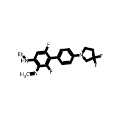 C=Nc1c(NCC)cc(F)c(-c2ccc(N3CCC(F)(F)C3)cc2)c1F